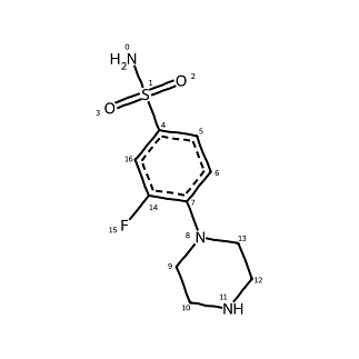 NS(=O)(=O)c1ccc(N2CCNCC2)c(F)c1